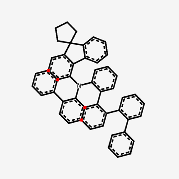 c1ccc(-c2ccccc2-c2ccccc2-c2ccccc2N(c2ccccc2-c2ccccc2)c2cccc3c2-c2ccccc2C32CCCC2)cc1